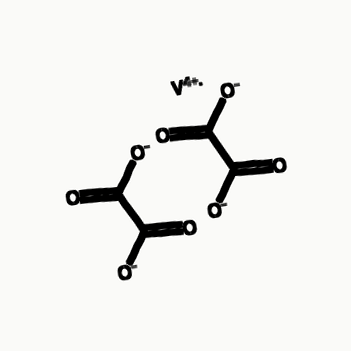 O=C([O-])C(=O)[O-].O=C([O-])C(=O)[O-].[V+4]